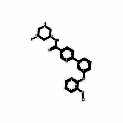 CCOc1cccnc1Oc1cncc(-c2ncc(C(=O)N[C@@H]3CNC[C@@H](F)C3)cn2)c1